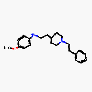 COc1ccc(NCCC2CCN(CCc3ccccc3)CC2)cc1